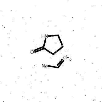 C=[CH][Na].O=C1CCCN1